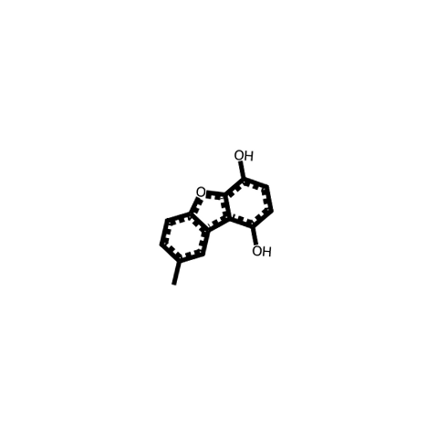 Cc1ccc2oc3c(O)ccc(O)c3c2c1